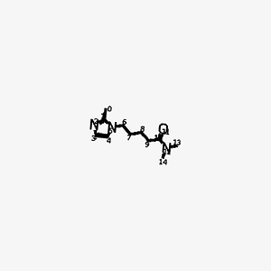 Cc1n[c]cn1CCCCC(=O)N(C)C